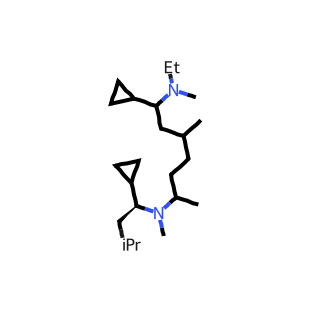 CCN(C)C(CC(C)CCC(C)N(C)[C@@H](CC(C)C)C1CC1)C1CC1